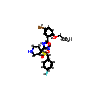 O=C(O)COc1ccc(Br)cc1-c1nc(C2(S(=O)(=O)Cc3ccc(F)cc3)CCNCC2)no1